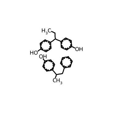 CC(Cc1ccccc1)c1ccc(O)cc1.CCC(c1ccc(O)cc1)c1ccc(O)cc1